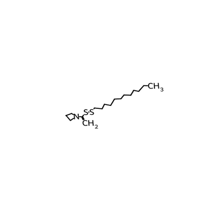 C=C(SSCCCCCCCCCCCC)N1CCC1